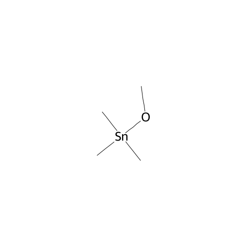 C[O][Sn]([CH3])([CH3])[CH3]